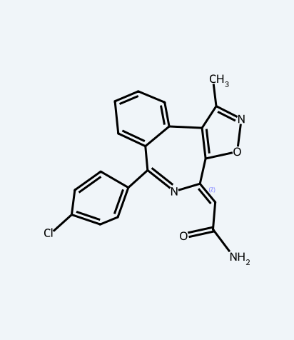 Cc1noc2c1-c1ccccc1C(c1ccc(Cl)cc1)=N/C2=C\C(N)=O